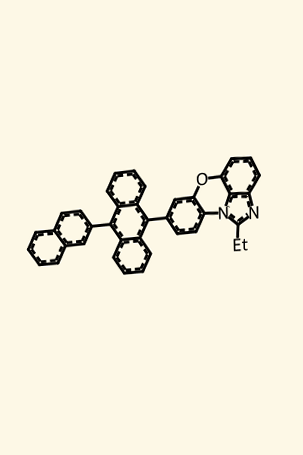 CCc1nc2cccc3c2n1-c1ccc(-c2c4ccccc4c(-c4ccc5ccccc5c4)c4ccccc24)cc1O3